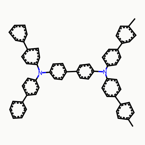 Cc1ccc(-c2ccc(N(c3ccc(-c4ccc(C)cc4)cc3)c3ccc(-c4ccc(N(c5ccc(-c6ccccc6)cc5)c5ccc(-c6ccccc6)cc5)cc4)cc3)cc2)cc1